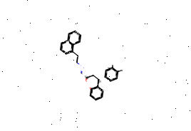 CCc1ccc([C@H]2C[C@H](CNCCc3cccc4ccccc34)Oc3ccccc32)cc1C(=O)O.Cl